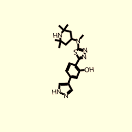 CN(c1nnc(-c2ccc(-c3cn[nH]c3)cc2O)s1)C1CC(C)(C)NC(C)(C)C1